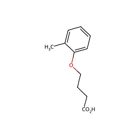 Cc1ccccc1OCCCC(=O)O